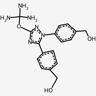 NC(N)(N)Oc1nc(-c2ccc(CO)cc2)n(-c2ccc(CO)cc2)n1